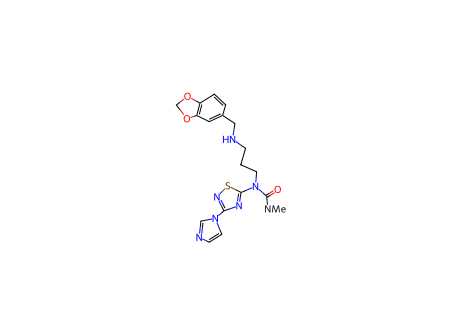 CNC(=O)N(CCCNCc1ccc2c(c1)OCO2)c1nc(-n2ccnc2)ns1